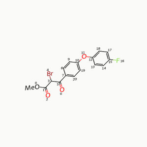 COC(=O)C(Br)C(=O)c1ccc(Oc2ccc(F)cc2)cc1